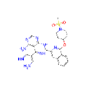 CS(=O)(=O)N1CCC(Oc2nc(CNc3ncnc(N)c3C(=N)/C(C=N)=C/N)cc3ccccc23)CC1